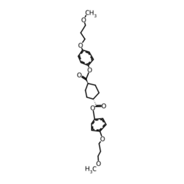 COCCCOc1ccc(OC(=O)[C@H]2CC[C@H](C(=O)Oc3ccc(OCCCOC)cc3)CC2)cc1